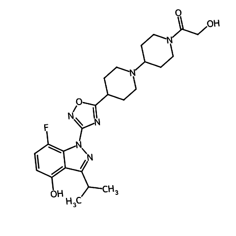 CC(C)c1nn(-c2noc(C3CCN(C4CCN(C(=O)CO)CC4)CC3)n2)c2c(F)ccc(O)c12